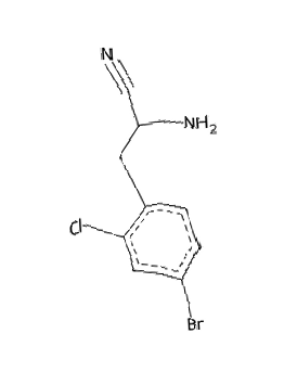 N#CC(N)Cc1ccc(Br)cc1Cl